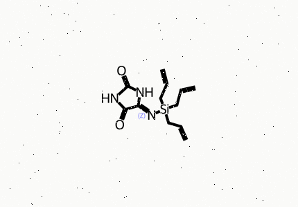 C=CC[Si](CC=C)(CC=C)/N=C1\NC(=O)NC1=O